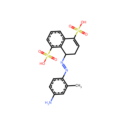 Cc1cc(N)ccc1N=NC1CC=C(S(=O)(=O)O)c2cccc(S(=O)(=O)O)c21